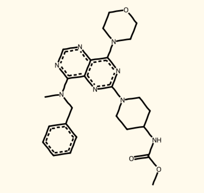 COC(=O)NC1CCN(c2nc(N3CCOCC3)c3ncnc(N(C)Cc4ccccc4)c3n2)CC1